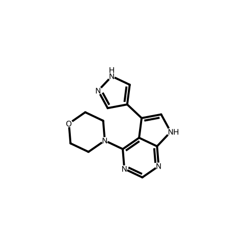 c1nc(N2CCOCC2)c2c(-c3cn[nH]c3)c[nH]c2n1